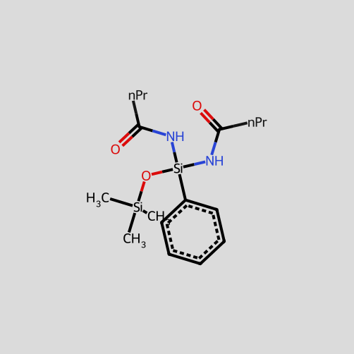 CCCC(=O)N[Si](NC(=O)CCC)(O[Si](C)(C)C)c1ccccc1